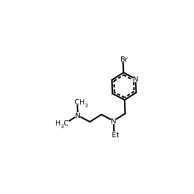 CCN(CCN(C)C)Cc1ccc(Br)nc1